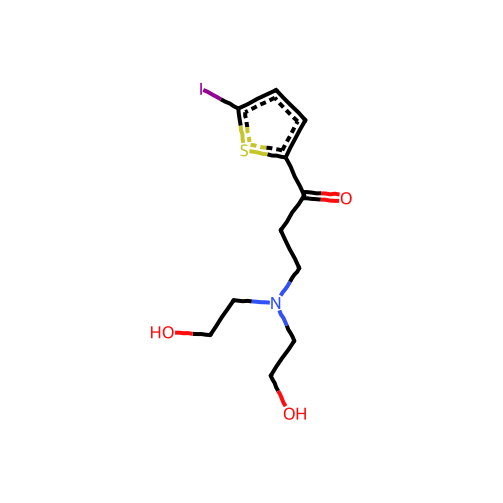 O=C(CCN(CCO)CCO)c1ccc(I)s1